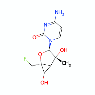 C[C@@]1(O)C2C(O)[C@@]2(CF)O[C@H]1n1ccc(N)nc1=O